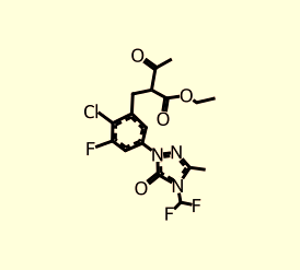 CCOC(=O)C(Cc1cc(-n2nc(C)n(C(F)F)c2=O)cc(F)c1Cl)C(C)=O